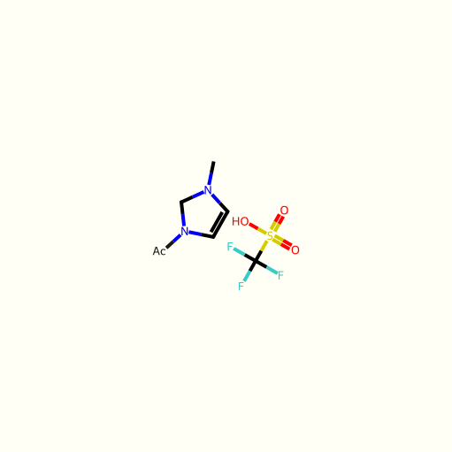 CC(=O)N1C=CN(C)C1.O=S(=O)(O)C(F)(F)F